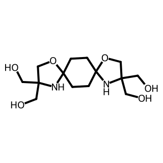 OCC1(CO)COC2(CCC3(CC2)NC(CO)(CO)CO3)N1